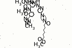 CNC(=O)c1nnc(Nc2ccc(N3CCN(C(=O)CCCCCCC(=O)OC)CC3)cn2)cc1Nc1cccc(-c2ncn(C)n2)c1OC